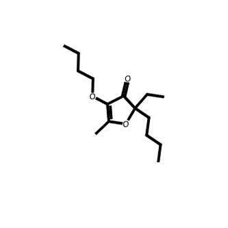 CCCCOC1=C(C)OC(CC)(CCCC)C1=O